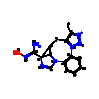 Cc1nnn2c1CC1C3N(C=NC13/C(N)=N/O)c1ccccc1-2